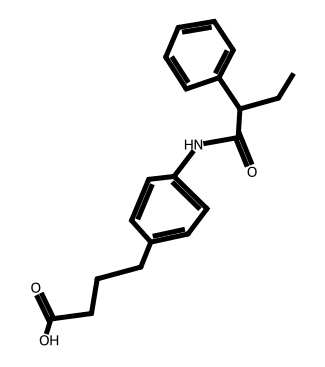 CCC(C(=O)Nc1ccc(CCCC(=O)O)cc1)c1ccccc1